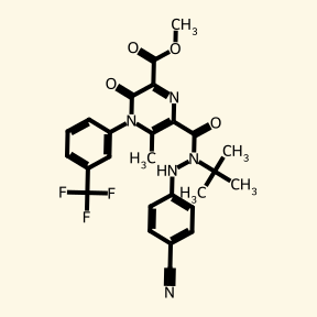 COC(=O)c1nc(C(=O)N(Nc2ccc(C#N)cc2)C(C)(C)C)c(C)n(-c2cccc(C(F)(F)F)c2)c1=O